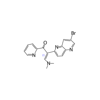 CN(C)/C=C(/C(=O)c1ccccn1)c1ccc2ncc(Br)cc2n1